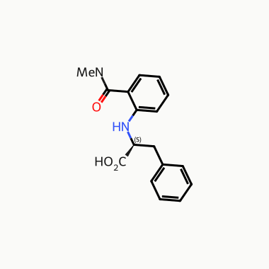 CNC(=O)c1ccccc1N[C@@H](Cc1ccccc1)C(=O)O